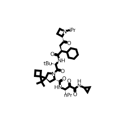 CCC[C@H](NC(=O)[C@@H]1C[C@@]2(CN1C(=O)[C@@H](NC(=O)[C@@H](CC(=O)[C@@H]1CCN1C(C)C)C1CCCCC1)C(C)(C)C)C(C)(C)C21CCC1)C(=O)C(=O)NC1CC1